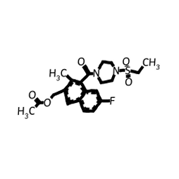 CCS(=O)(=O)N1CCN(C(=O)c2c(C)c(COC(C)=O)cc3ccc(F)cc23)CC1